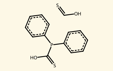 OC(=S)P(c1ccccc1)c1ccccc1.OC=S